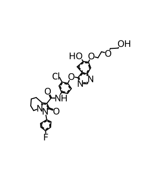 O=C(Nc1ccc(Oc2ncnc3cc(OCCOCCO)c(O)cc23)c(Cl)c1)c1c2n(n(-c3ccc(F)cc3)c1=O)CCCC2